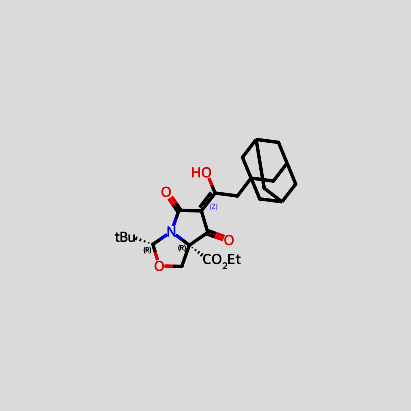 CCOC(=O)[C@]12CO[C@H](C(C)(C)C)N1C(=O)/C(=C(\O)CC13CC4CC(CC(C4)C1)C3)C2=O